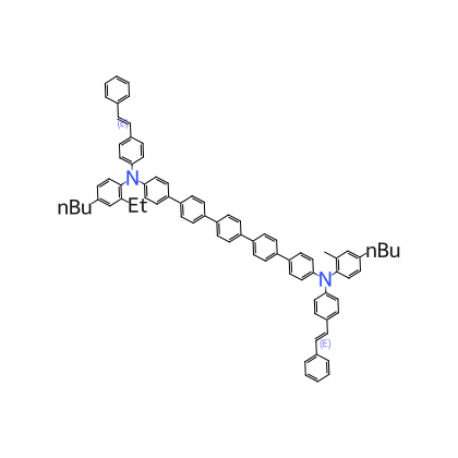 CCCCc1ccc(N(c2ccc(/C=C/c3ccccc3)cc2)c2ccc(-c3ccc(-c4ccc(-c5ccc(-c6ccc(N(c7ccc(/C=C/c8ccccc8)cc7)c7ccc(CCCC)cc7CC)cc6)cc5)cc4)cc3)cc2)c(C)c1